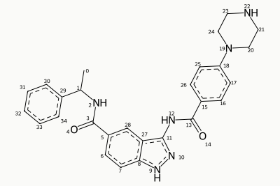 CC(NC(=O)c1ccc2[nH]nc(NC(=O)c3ccc(N4CCNCC4)cc3)c2c1)c1ccccc1